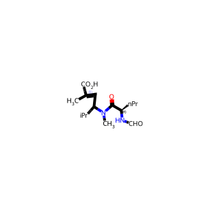 CCC[C@@H](NC=O)C(=O)N(C)C(/C=C(\C)C(=O)O)C(C)C